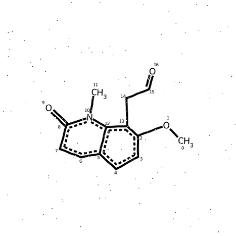 COc1ccc2ccc(=O)n(C)c2c1CC=O